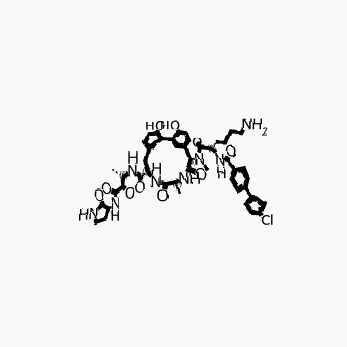 C[C@@H]1NC(=O)[C@@H](N(C)C(=O)[C@H](CCCCN)NC(=O)c2ccc(-c3ccc(Cl)cc3)cc2)c2ccc(O)c(c2)-c2cc(ccc2O)C[C@@H](C(=O)N[C@@H](C)C(=O)C(=O)N[C@@H]2CCNC2=O)NC1=O